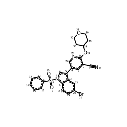 N#Cc1cc(-c2cn(S(=O)(=O)c3ccccc3)c3ncc(Br)cc23)cnc1OC1CCOCC1